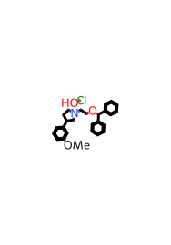 COc1cccc(C2CCN(CCOC(c3ccccc3)c3ccccc3)C2)c1.OCl